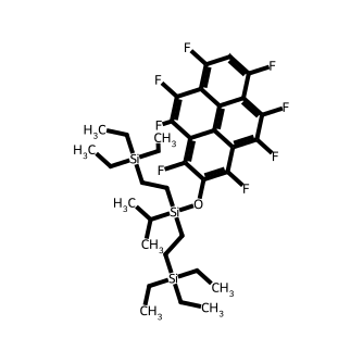 CC[Si](CC)(CC)CC[Si](CC[Si](CC)(CC)CC)(Oc1c(F)c2c(F)c(F)c3c(F)[c]c(F)c4c(F)c(F)c(c1F)c2c34)C(C)C